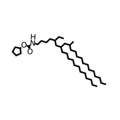 CCCCCCCCCCCCC(C)CC(CCCCCCCCCCCC)CC(CC)CCCCNC(=O)OC1CCCC1